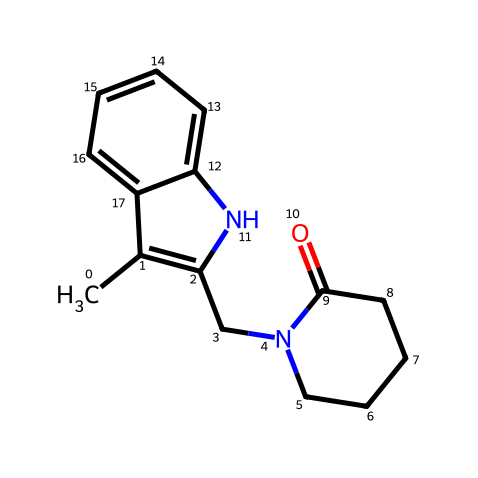 Cc1c(CN2CCCCC2=O)[nH]c2ccccc12